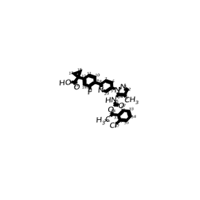 Cc1cnn(-c2ccc(-c3ccc(C4(C(=O)O)CC4)cc3F)nc2)c1NC(=O)OC(C)c1ccccc1Cl